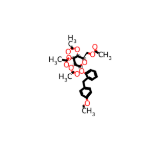 CCOc1ccc(Cc2ccccc2O[C@H]2O[C@H](COC(C)=O)[C@@H](OC(C)=O)[C@H](OC(C)=O)[C@H]2OC(C)=O)cc1